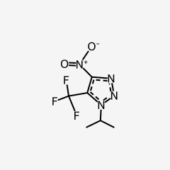 CC(C)n1nnc([N+](=O)[O-])c1C(F)(F)F